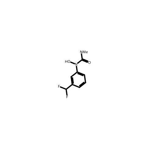 CNC(=O)N(O)c1cccc(C(F)F)c1